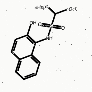 CCCCCCCCC(CCCCCCC)S(=O)(=O)Nc1c(O)ccc2ccccc12